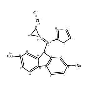 CC(C)(C)c1ccc2c(c1)[CH]([Zr+2]([C]1=CC=CC1)=[Si]1CC1)c1cc(C(C)(C)C)ccc1-2.[Cl-].[Cl-]